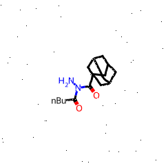 CCCCC(=O)N(N)C(=O)C12CC3CC(CC(C3)C1)C2